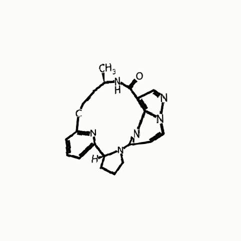 C[C@@H]1CCCc2cccc(n2)[C@H]2CCCN2c2ccn3ncc(c3n2)C(=O)N1